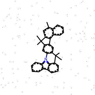 Cc1cc2c(c3ccccc13)-c1cc3c(cc1C2(C)C)-n1c2ccccc2c2cccc(c21)C3(C)C